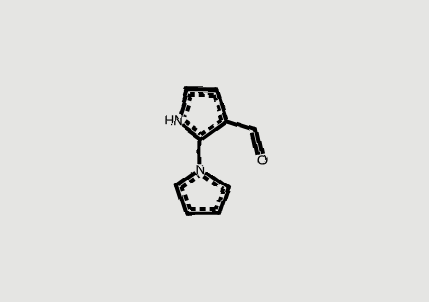 O=Cc1cc[nH]c1-n1cccc1